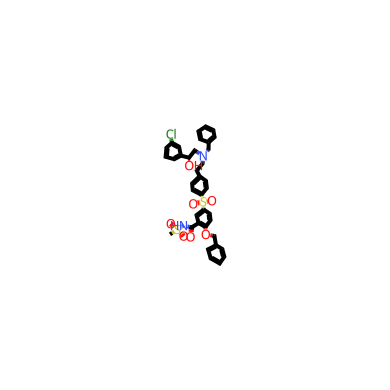 CS(=O)(=O)NC(=O)c1cc(S(=O)(=O)c2ccc(CCN(Cc3ccccc3)C[C@@H](O)c3cccc(Cl)c3)cc2)ccc1OCc1ccccc1